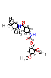 COc1ccc(COCC(=O)Nc2ccc(C(=O)N3CC4(C)CC3CC(C)(C)C4)cc2)c(OC)c1